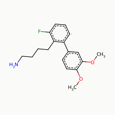 COc1ccc(-c2[c]ccc(F)c2CCCCN)cc1OC